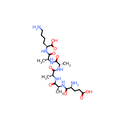 C[C@H](NC(=O)[C@H](C)NC(=O)[C@H](C)NC(=O)[C@@H](N)CCC(=O)O)C(=O)N[C@@H](C)C(=O)N[C@@H](CCCCN)C(=O)O